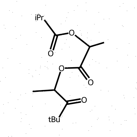 CC(C)C(=O)OC(C)C(=O)OC(C)C(=O)C(C)(C)C